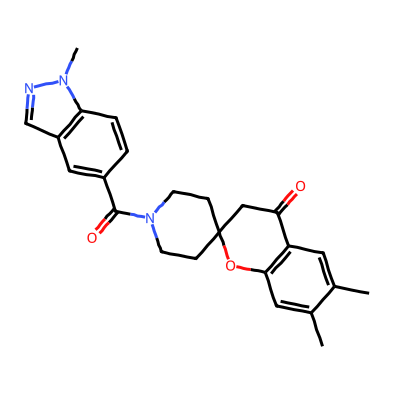 Cc1cc2c(cc1C)C(=O)CC1(CCN(C(=O)c3ccc4c(cnn4C)c3)CC1)O2